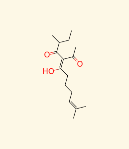 CCC(C)C(=O)/C(C(C)=O)=C(\O)CCCC=C(C)C